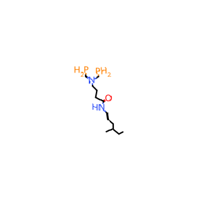 CCC(C)CCCNC(=O)CCCN(CP)CP